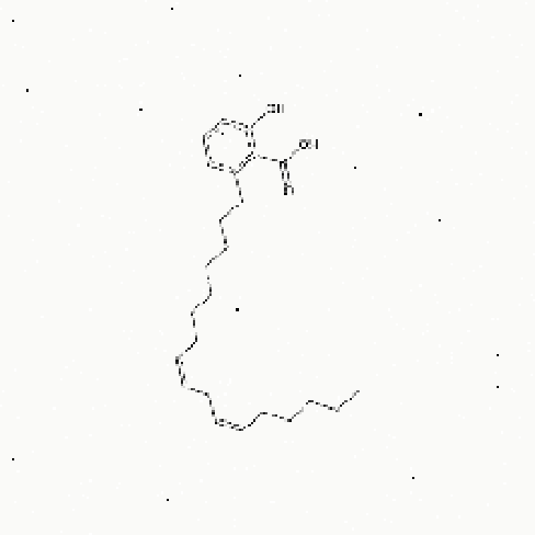 CCCCC/C=C\C/C=C\CCCCCCCc1cccc(O)c1C(=O)O